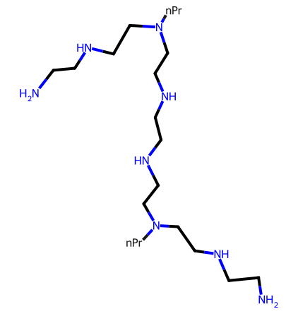 CCCN(CCNCCN)CCNCCNCCN(CCC)CCNCCN